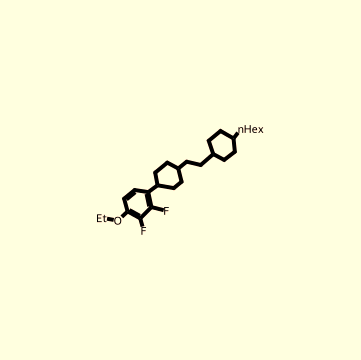 CCCCCCC1CCC(CCC2CCC(c3ccc(OCC)c(F)c3F)CC2)CC1